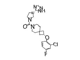 O=C(N1CCC2(CC1)CC(Oc1ccc(F)cc1Cl)C2)N1CC[C@H](c2ncn[nH]2)C1